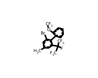 Cc1[c]c(Br)c(-c2ccccc2OC(F)(F)F)c(C(F)(C(F)(F)F)C(F)(F)F)c1